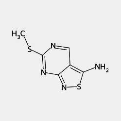 CSc1ncc2c(N)snc2n1